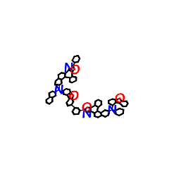 c1ccc(-c2nc3c4ccc5ccc(N(c6ccc7ccccc7c6)c6ccc7oc8cc(-c9cccc(-c%10nc%11c%12ccc%13ccc(N(c%14ccccc%14)c%14cccc%15oc%16ccccc%16c%14%15)cc%13c%12c%12ccccc%12c%11o%10)c9)ccc8c7c6)cc5c4c4ccccc4c3o2)cc1